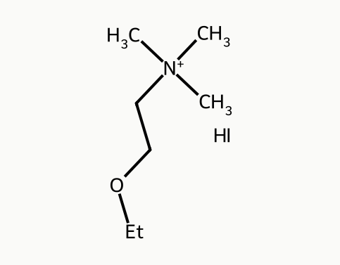 CCOCC[N+](C)(C)C.I